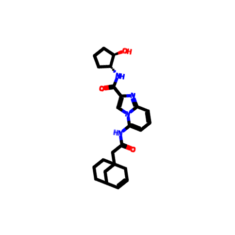 O=C(CC12CC=CC(CCC1)C2)Nc1cccc2nc(C(=O)N[C@@H]3CCC[C@H]3O)cn12